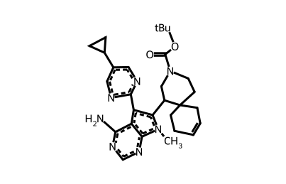 Cn1c(C2CN(C(=O)OC(C)(C)C)CCC23CC=CCC3)c(-c2ncc(C3CC3)cn2)c2c(N)ncnc21